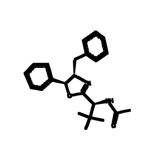 CC(=O)N[C@H](C1=N[C@@H](Cc2ccccc2)[C@H](c2ccccc2)O1)C(C)(C)C